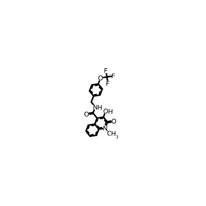 Cn1c(=O)c(O)c(C(=O)NCc2ccc(OC(F)(F)F)cc2)c2ccccc21